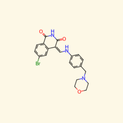 O=C1NC(=O)c2ccc(Br)cc2C1=CNc1ccc(CN2CCOCC2)cc1